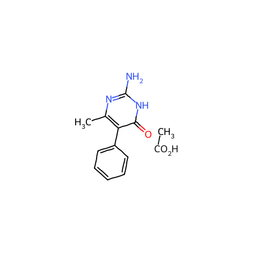 CC(=O)O.Cc1nc(N)[nH]c(=O)c1-c1ccccc1